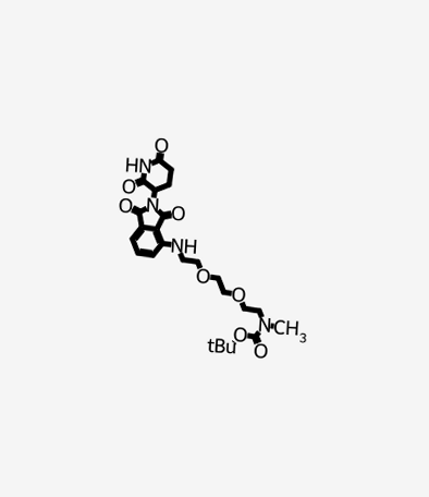 CN(CCOCCOCCNc1cccc2c1C(=O)N(C1CCC(=O)NC1=O)C2=O)C(=O)OC(C)(C)C